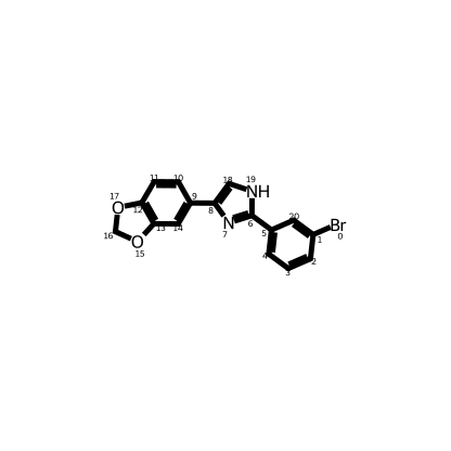 Brc1cccc(-c2nc(-c3ccc4c(c3)OCO4)c[nH]2)c1